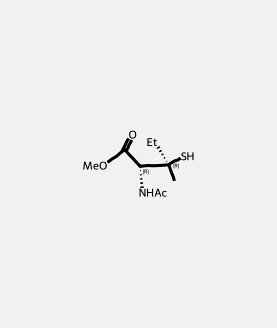 CC[C@@](C)(S)[C@H](NC(C)=O)C(=O)OC